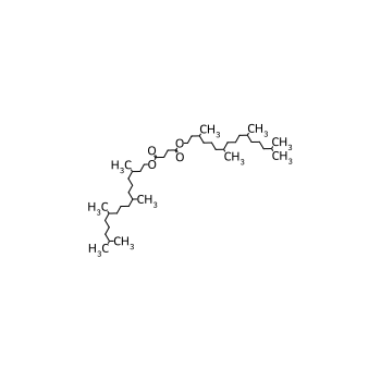 CC(C)CCCC(C)CCCC(C)CCCC(C)CCOC(=O)CCC(=O)OCCC(C)CCCC(C)CCCC(C)CCCC(C)C